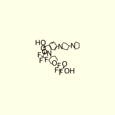 O=C(O)C(F)(F)F.O=C(O)c1ccc(N2CCC(N3CCCC3)CC2)cc1N(C(=O)C(F)(F)F)C1CCOCC1